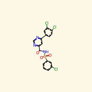 O=C(NS(=O)(=O)c1cccc(Cl)c1)c1cc(-c2ccc(Cl)c(Cl)c2)ncn1